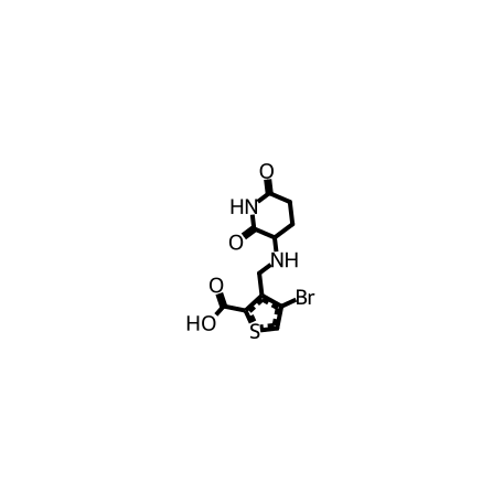 O=C1CCC(NCc2c(Br)csc2C(=O)O)C(=O)N1